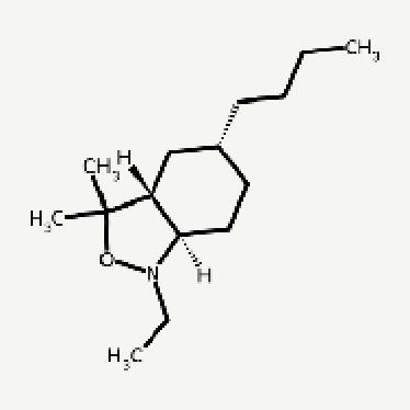 CCCC[C@@H]1CC[C@@H]2[C@@H](C1)C(C)(C)ON2CC